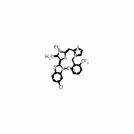 C=C1/C(=C2\Sc3ccc(Cl)cc3N2C)S/C(=C\c2scc[n+]2Cc2ccccc2C(F)(F)F)N1CC